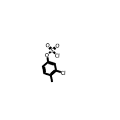 Cc1ccc(OS(=O)(=O)Cl)cc1Cl